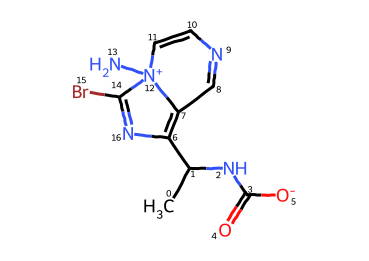 CC(NC(=O)[O-])C1=C2C=NC=C[N+]2(N)C(Br)=N1